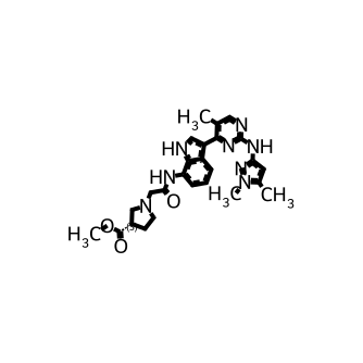 COC(=O)[C@H]1CCN(CC(=O)Nc2cccc3c(-c4nc(Nc5cc(C)n(C)n5)ncc4C)c[nH]c23)C1